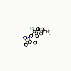 CC(C)(C)c1cccc2c1-c1ccccc1C21c2ccccc2-c2c(-c3ccc(N(c4ccccc4)c4cc(-c5ccccc5)cc5c4sc4ccccc45)cc3)cc(Cl)cc21